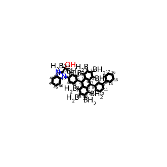 Bc1c(B)c(B)c2c(-c3cccc(-c4ccccc4)c3)c3c(B)c(B)c(B)c(B)c3c(-c3ccc(-n4c(C(B)(B)O)nc5ccccc54)cc3)c2c1B